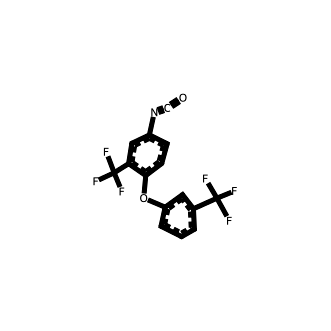 O=C=Nc1ccc(Oc2cccc(C(F)(F)F)c2)c(C(F)(F)F)c1